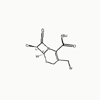 CC(C)(C)C(=O)C1=C(CBr)CS[C@H]2[C@@H](Cl)C(=O)N12